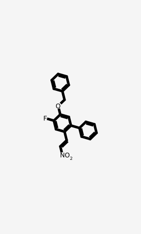 O=[N+]([O-])C=Cc1cc(F)c(OCc2ccccc2)cc1-c1ccccc1